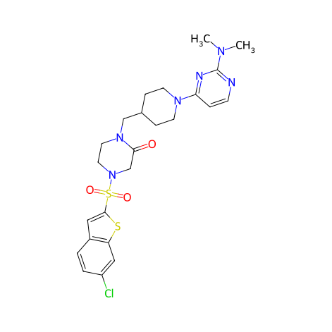 CN(C)c1nccc(N2CCC(CN3CCN(S(=O)(=O)c4cc5ccc(Cl)cc5s4)CC3=O)CC2)n1